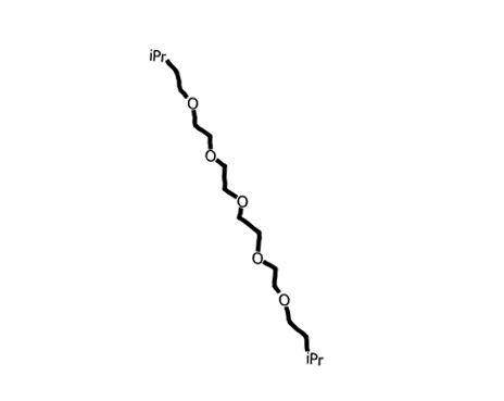 CC(C)CCOCCOCCOCCOCCOCCC(C)C